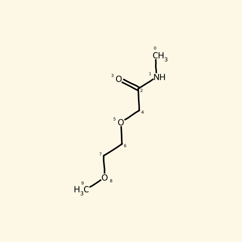 CNC(=O)COCCOC